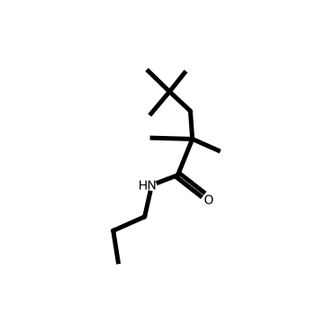 CCCNC(=O)C(C)(C)CC(C)(C)C